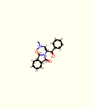 CN(C)/C=C(/C(=O)c1ccccc1)N1C(=O)c2ccccc2C1=O